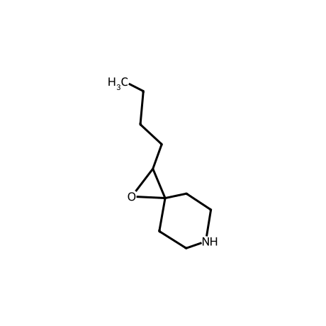 CCCCC1OC12CCNCC2